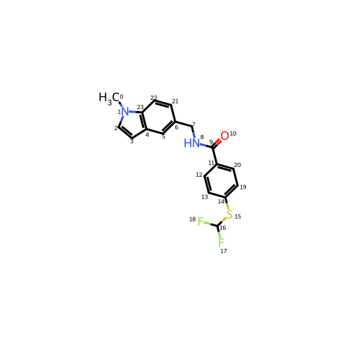 Cn1ccc2cc(CNC(=O)c3ccc(SC(F)F)cc3)ccc21